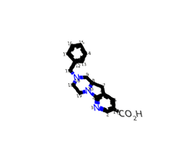 O=C(O)c1cnc2c(c1)CC1CN(Cc3ccccc3)CCN21